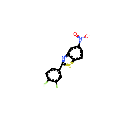 O=[N+]([O-])c1ccc2sc(-c3ccc(F)c(F)c3)nc2c1